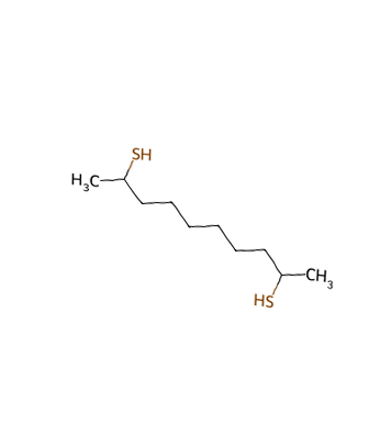 CC(S)CCCCCCC(C)S